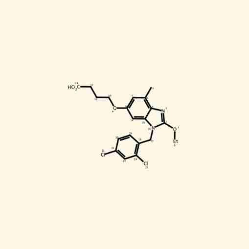 CCOc1nc2c(C)cc(OCCCC(=O)O)cc2n1Cc1ccc(Cl)cc1Cl